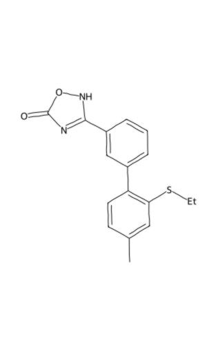 CCSc1cc(C)ccc1-c1cccc(-c2nc(=O)o[nH]2)c1